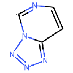 [c]1nccc2nnnn12